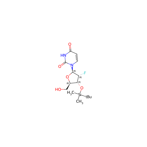 CC(C)(C)[Si](C)(C)O[C@H]1[C@@H](F)[C@H](n2ccc(=O)[nH]c2=O)O[C@@H]1CO